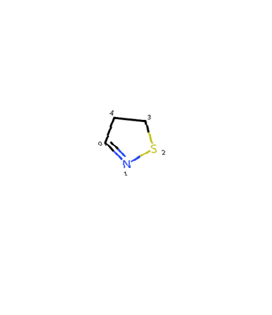 [C]1=NSCC1